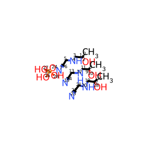 CC(O)CNCC#N.CC(O)CNCC#N.CC(O)CNCC#N.O=P(O)(O)O